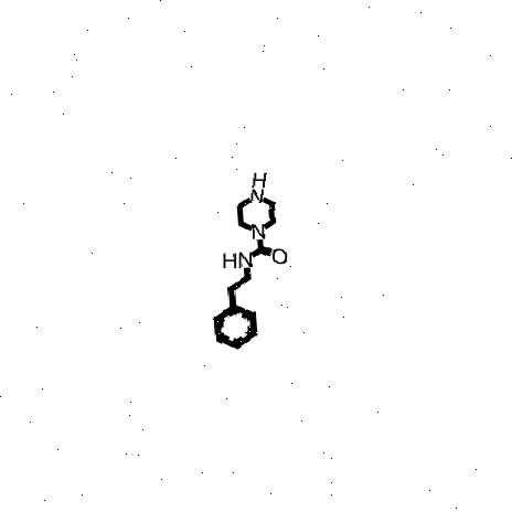 O=C(NCCc1ccccc1)N1CCNCC1